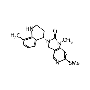 CSc1ncc2c(n1)N(C)C(=O)N([C@H]1CCNc3c(C)cccc31)C2